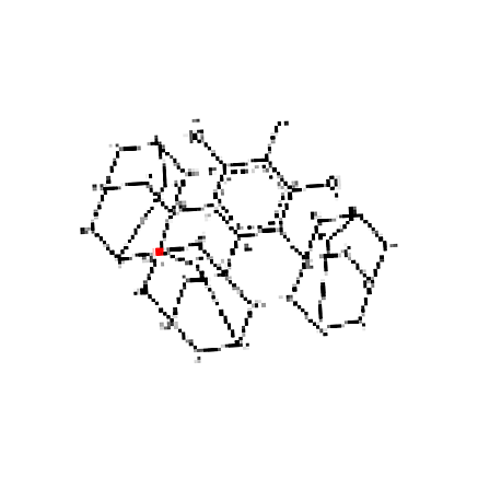 Cc1c(O)c(C23CC4CC(CC(C4)C2)C3)c(C23CC4CC(CC(C4)C2)C3)c(C23CC4CC(CC(C4)C2)C3)c1O